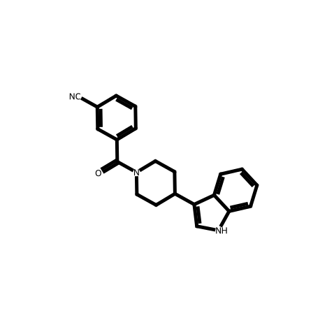 N#Cc1cccc(C(=O)N2CCC(c3c[nH]c4ccccc34)CC2)c1